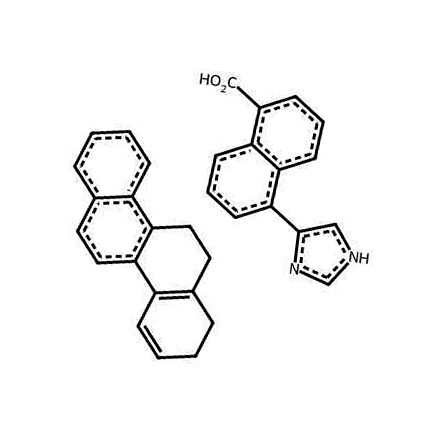 C1=CC2=C(CC1)CCc1c2ccc2ccccc12.O=C(O)c1cccc2c(-c3c[nH]cn3)cccc12